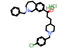 Cl.Cl.O=C(CCC1CCN(Cc2ccc(Cl)cc2)CC1)c1ccc2c(c1)CN(Cc1ccccc1)CCC2